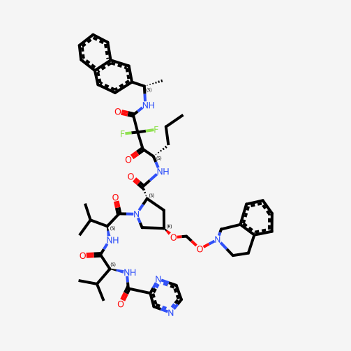 CCC[C@H](NC(=O)[C@@H]1C[C@@H](OCON2CCc3ccccc3C2)CN1C(=O)[C@@H](NC(=O)[C@@H](NC(=O)c1cnccn1)C(C)C)C(C)C)C(=O)C(F)(F)C(=O)N[C@@H](C)c1ccc2ccccc2c1